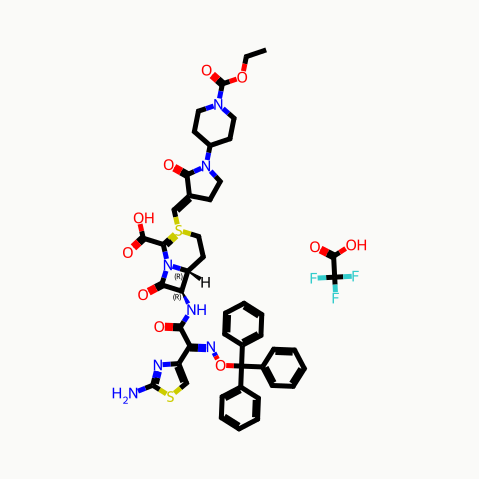 CCOC(=O)N1CCC(N2CCC(=CS3=C(C(=O)O)N4C(=O)[C@H](NC(=O)C(=NOC(c5ccccc5)(c5ccccc5)c5ccccc5)c5csc(N)n5)[C@H]4CC3)C2=O)CC1.O=C(O)C(F)(F)F